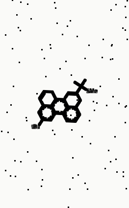 CSC(C)(C)C1=Cc2c3c4c(cc(C(C)(C)C)cc4c4cccc(c24)C1)C=CC3